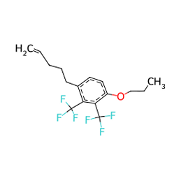 C=CCCCc1ccc(OCCC)c(C(F)(F)F)c1C(F)(F)F